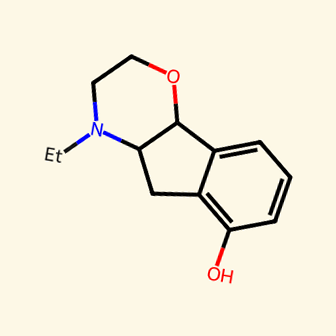 CCN1CCOC2c3cccc(O)c3CC21